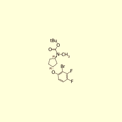 CN(C(=O)OC(C)(C)C)[C@@H]1CC[C@@H](Oc2ccc(F)c(F)c2Br)C1